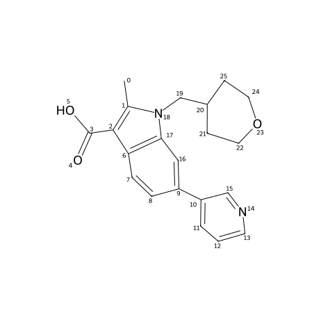 Cc1c(C(=O)O)c2ccc(-c3cccnc3)cc2n1CC1CCOCC1